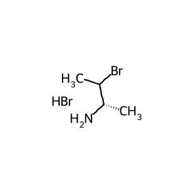 Br.CC(Br)[C@H](C)N